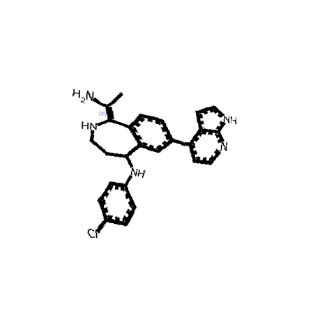 C/C(N)=C1/NCCC(Nc2ccc(Cl)cc2)c2cc(-c3ccnc4[nH]ccc34)ccc21